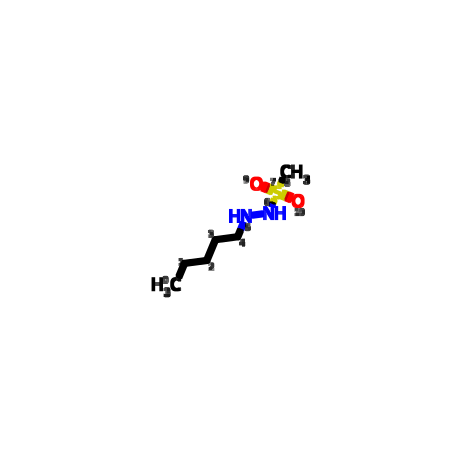 CCCCCNNS(C)(=O)=O